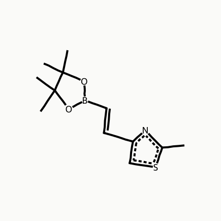 Cc1nc(/C=C/B2OC(C)(C)C(C)(C)O2)cs1